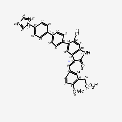 COc1ccc(/C=C2\C(=O)Nc3cc(Cl)c(-c4ccc(-c5ccc(-n6cncn6)cc5)cc4)cc32)cc1CC(=O)O